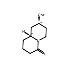 CC(=O)O[C@H]1CCN2C(=O)CCC[C@@H]2C1